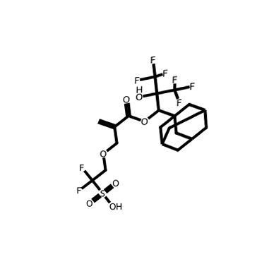 C=C(COCC(F)(F)S(=O)(=O)O)C(=O)OC(C12CC3CC(CC(C3)C1)C2)C(O)(C(F)(F)F)C(F)(F)F